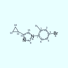 Cc1cc(Br)ccc1-n1cnc(C2CC2)c1